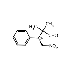 CC(C)(C=O)[C@@H](C[N+](=O)[O-])c1ccccc1